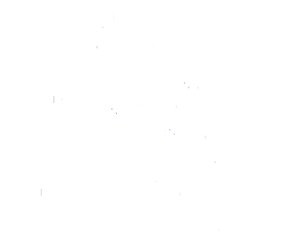 COCCn1c(C)c([S+](C)[O-])c2ccnc(N3CCc4ccccc4C3)c21